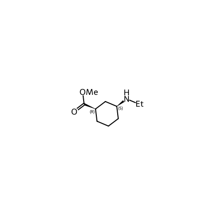 CCN[C@H]1CCC[C@@H](C(=O)OC)C1